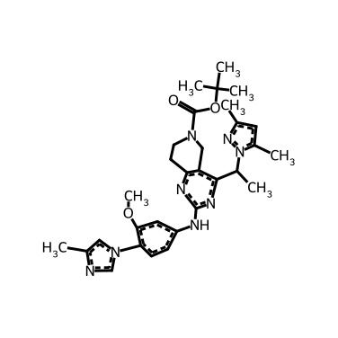 COc1cc(Nc2nc3c(c(C(C)n4nc(C)cc4C)n2)CN(C(=O)OC(C)(C)C)CC3)ccc1-n1cnc(C)c1